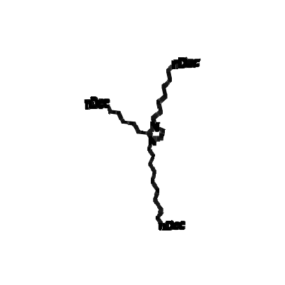 CCCCCCCCCCCCCCCCCCC[n+]1ccn(CCCCCCCCCCCCCCCCC)c1CCCCCCCCCCCCCCC